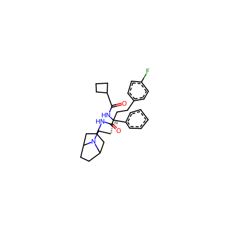 O=C(CCc1ccc(F)cc1)NC1CC2CCC(C1)N2CC[C@H](NC(=O)C1CCC1)c1ccccc1